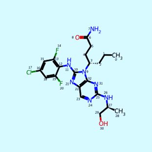 CCC[C@@H](CCC(N)=O)n1c(Nc2c(F)cc(Cl)cc2F)nc2cnc(N[C@@H](C)CO)nc21